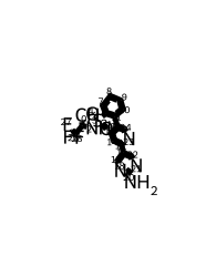 CC(NS(=O)(=O)c1ccccc1-c1ccc(-c2cnc(N)nc2)nc1)C(F)(F)F